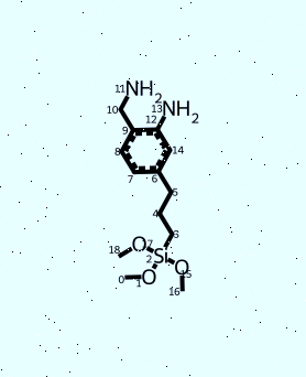 CO[Si](CCCc1ccc(CN)c(N)c1)(OC)OC